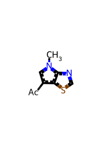 CC(=O)c1cn(C)c2ncsc12